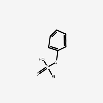 CCP(O)(=S)Sc1ccccc1